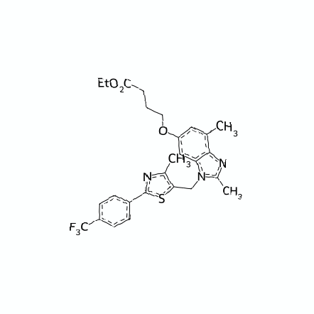 CCOC(=O)CCCOc1cc(C)c2nc(C)n(Cc3sc(-c4ccc(C(F)(F)F)cc4)nc3C)c2c1